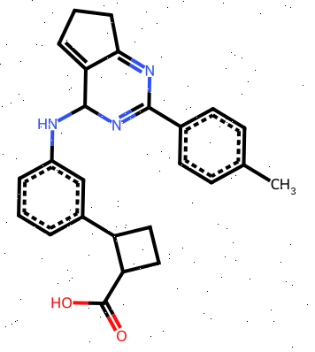 Cc1ccc(C2=NC(Nc3cccc(C4CCC4C(=O)O)c3)C3=CCCC3=N2)cc1